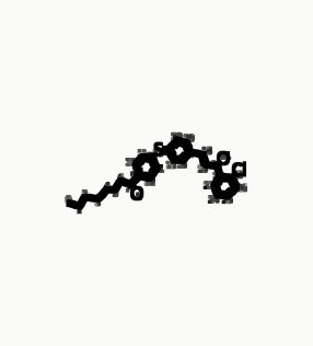 CCCCCCCC(=O)c1ccc(Sc2ccc(C=CC(=O)c3ccccc3Cl)cc2)cc1